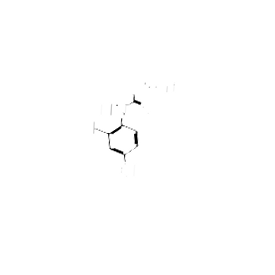 CCCC(C)C(=O)Nc1ccc(C)cc1Cl